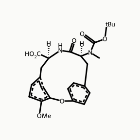 COc1ccc2cc1Oc1ccc(cc1)C[C@H](N(C)C(=O)OC(C)(C)C)C(=O)N[C@H](C(=O)O)C2